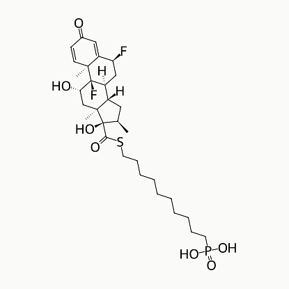 C[C@@H]1C[C@H]2[C@@H]3C[C@H](F)C4=CC(=O)C=C[C@]4(C)[C@@]3(F)[C@@H](O)C[C@]2(C)[C@@]1(O)C(=O)SCCCCCCCCCCP(=O)(O)O